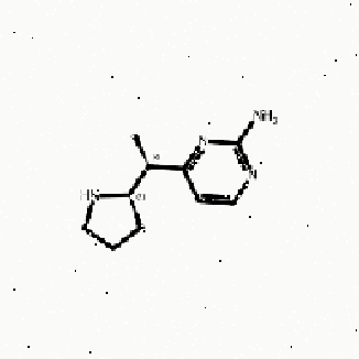 C[C@@H](c1ccnc(N)n1)[C@H]1CCCN1